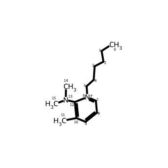 CCCCCC[n+]1cccc(C)c1N(C)C